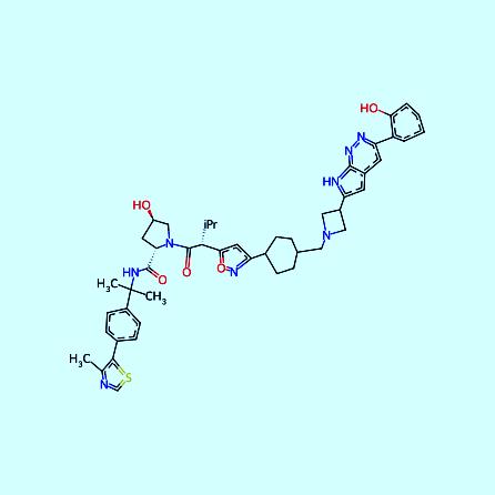 Cc1ncsc1-c1ccc(C(C)(C)NC(=O)[C@@H]2C[C@@H](O)CN2C(=O)[C@@H](c2cc(C3CCC(CN4CC(c5cc6cc(-c7ccccc7O)nnc6[nH]5)C4)CC3)no2)C(C)C)cc1